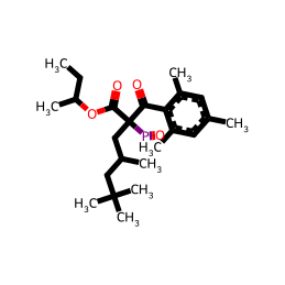 CCC(C)OC(=O)C(CC(C)CC(C)(C)C)(P=O)C(=O)c1c(C)cc(C)cc1C